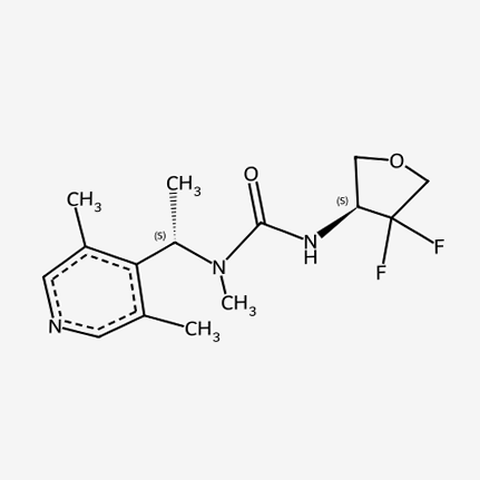 Cc1cncc(C)c1[C@H](C)N(C)C(=O)N[C@H]1COCC1(F)F